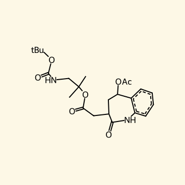 CC(=O)OC1CC(CC(=O)OC(C)(C)CNC(=O)OC(C)(C)C)C(=O)Nc2ccccc21